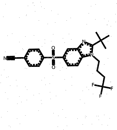 CC(C)(C)c1nc2cc(S(=O)(=O)c3ccc(C#N)cc3)ccc2n1CCCC(F)(F)F